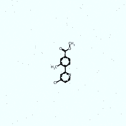 COC(=O)c1ccc(-c2cc(Cl)ccn2)c(C)c1